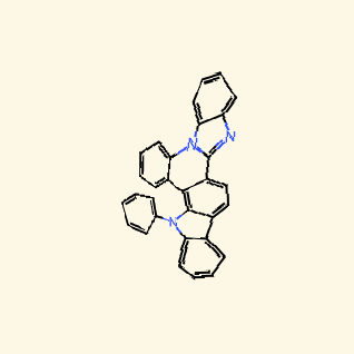 c1ccc(-n2c3ccccc3c3ccc4c(c5ccccc5n5c6ccccc6nc45)c32)cc1